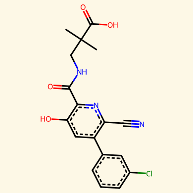 CC(C)(CNC(=O)c1nc(C#N)c(-c2cccc(Cl)c2)cc1O)C(=O)O